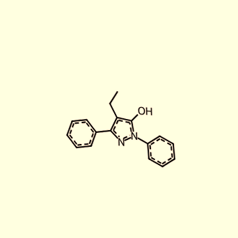 CCc1c(-c2ccccc2)nn(-c2ccccc2)c1O